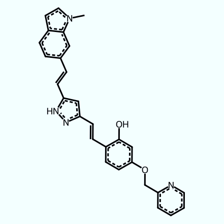 Cn1ccc2ccc(C=Cc3cc(C=Cc4ccc(OCc5ccccn5)cc4O)n[nH]3)cc21